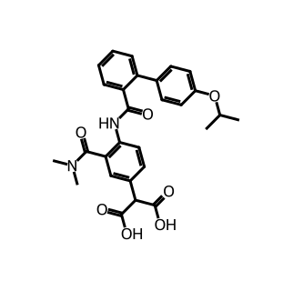 CC(C)Oc1ccc(-c2ccccc2C(=O)Nc2ccc(C(C(=O)O)C(=O)O)cc2C(=O)N(C)C)cc1